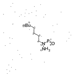 CCCCCCCCN(N)P=O